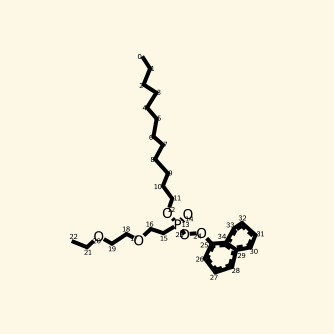 CCCCCCCCCCCCOP(=O)(CCOCCOCC)OOc1cccc2ccccc12